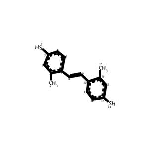 Cc1cc(S)ccc1/C=C/c1ccc(S)cc1C